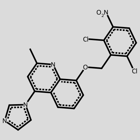 Cc1cc(-n2ccnc2)c2cccc(OCc3c(Cl)ccc([N+](=O)[O-])c3Cl)c2n1